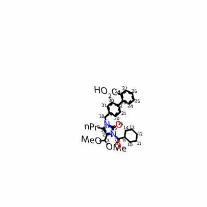 CCCc1c(C(OC)OC)n(C(=O)C2CCCCC2)c(=O)n1Cc1ccc(-c2ccccc2C(=O)O)cc1